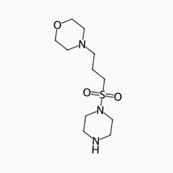 O=S(=O)(CCCN1CCOCC1)N1CCNCC1